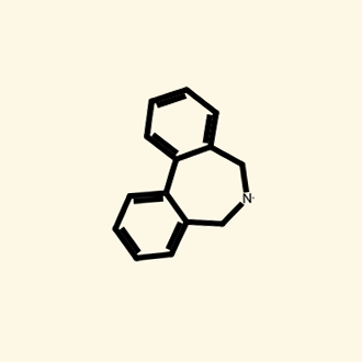 c1ccc2c(c1)C[N]Cc1ccccc1-2